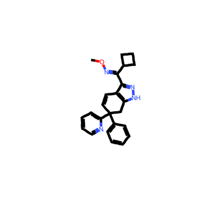 CON=C(c1n[nH]c2c1C=CC(c1ccccc1)(c1ccccn1)C2)C1CCC1